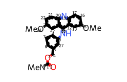 CNC(=O)OCc1cccc(Nc2c3cc(OC)ccc3nc3ccc(OC)cc23)c1